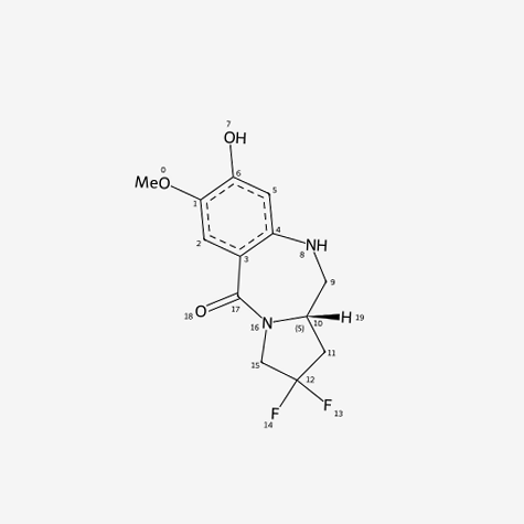 COc1cc2c(cc1O)NC[C@@H]1CC(F)(F)CN1C2=O